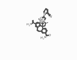 C=C(N)c1ccc2c(c1)CCc1cc(C(N)=O)ccc1C2(C[C@H](C)NCC(=O)N1CCCC1C#N)C(=O)NNC